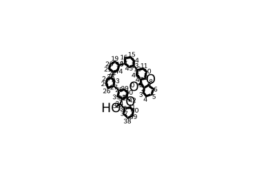 O=c1c2ccccc2oc2ccc(-c3cccc(-c4cccc(-c5cccc(-c6ccc7c(c6)C(O)c6ccccc6O7)c5)c4)c3)cc12